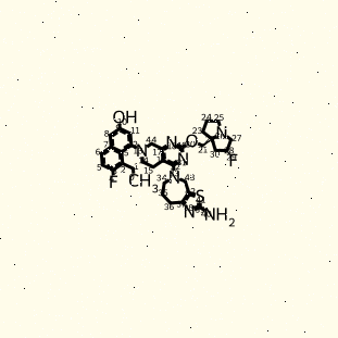 CCc1c(F)ccc2cc(O)cc(N3CCc4c(nc(OC[C@@]56CCCN5C[C@H](F)C6)nc4N4CCCc5nc(N)sc5C4)C3)c12